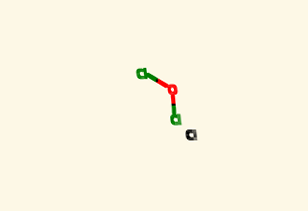 ClOCl.[C]